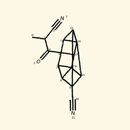 CC(C#N)C(=O)C12C3C4C5(C#N)C6C1C61C5C43C21